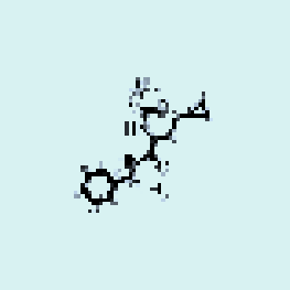 C[C@H](NC(=O)C(CCC1CC1)NC(=O)OC(C)(C)C)c1ccccc1